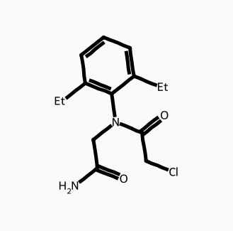 CCc1cccc(CC)c1N(CC(N)=O)C(=O)CCl